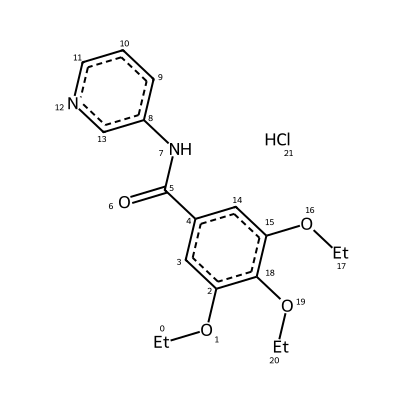 CCOc1cc(C(=O)Nc2cccnc2)cc(OCC)c1OCC.Cl